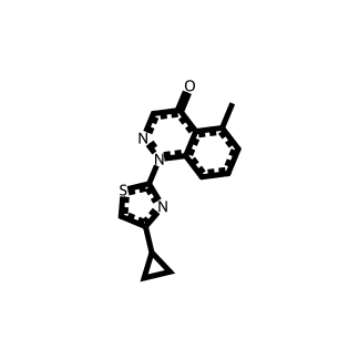 Cc1cccc2c1c(=O)cnn2-c1nc(C2CC2)cs1